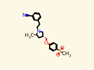 C[C@@H]1C[C@@H](COc2ccc(S(C)(=O)=O)cc2)CN1CCc1cccc(C#N)c1